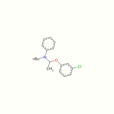 CCCCN(c1ccccc1)C(C)Oc1cccc(Cl)c1